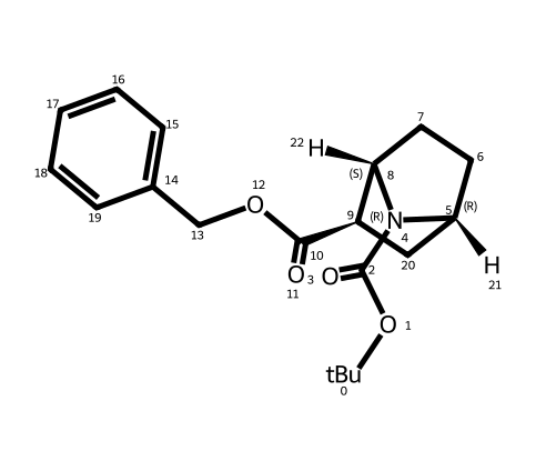 CC(C)(C)OC(=O)N1[C@@H]2CC[C@H]1[C@H](C(=O)OCc1ccccc1)C2